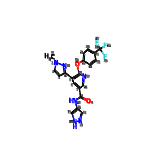 Cn1ccc(-c2cc(C(=O)Nc3cn[nH]c3)cnc2Oc2ccc(C(F)(F)F)cc2)n1